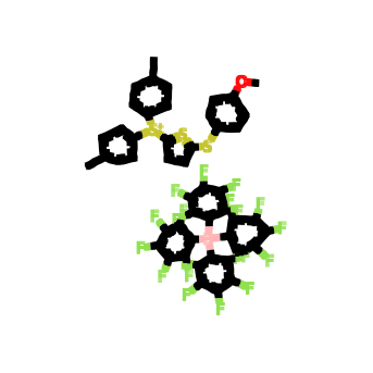 COc1ccc(Sc2ccc([S+](c3ccc(C)cc3)c3ccc(C)cc3)s2)cc1.Fc1c(F)c(F)c([B-](c2c(F)c(F)c(F)c(F)c2F)(c2c(F)c(F)c(F)c(F)c2F)c2c(F)c(F)c(F)c(F)c2F)c(F)c1F